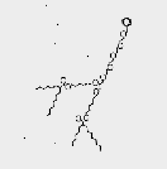 CCCCCCCCC(CCCCCC)C(=O)OCCCCCCOCC(COCCOCCOCCOCCOCc1ccccc1)OCCCCCCOC(=O)C(CCCCCC)CCCCCCCC